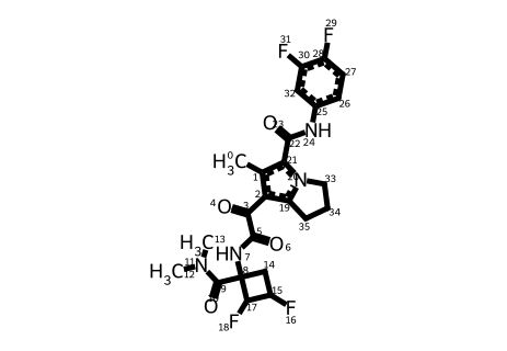 Cc1c(C(=O)C(=O)NC2(C(=O)N(C)C)CC(F)C2F)c2n(c1C(=O)Nc1ccc(F)c(F)c1)CCC2